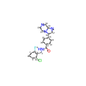 O=C(NCc1c(F)cccc1Cl)c1ccc(-c2cnc3cnccn23)cc1